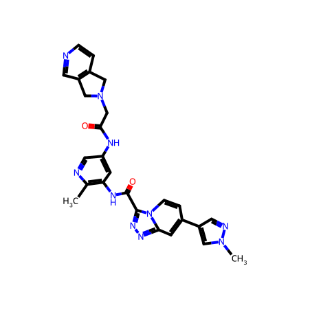 Cc1ncc(NC(=O)CN2Cc3ccncc3C2)cc1NC(=O)c1nnc2cc(-c3cnn(C)c3)ccn12